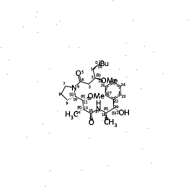 CC[C@H](C)C[C@H](CC(=O)N1CCC[C@H]1[C@H](OC)[C@@H](C)C(=O)N[C@H](C)[C@@H](O)c1ccccc1)OC